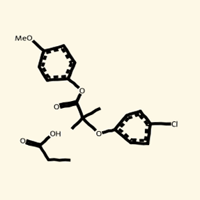 CCC(=O)O.COc1ccc(OC(=O)C(C)(C)Oc2ccc(Cl)cc2)cc1